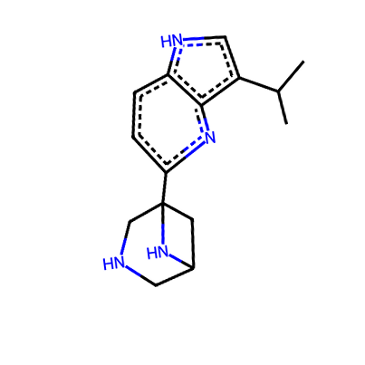 CC(C)c1c[nH]c2ccc(C34CNCC(C3)N4)nc12